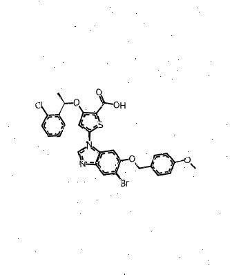 COc1ccc(COc2cc3c(cc2Br)ncn3-c2cc(O[C@H](C)c3ccccc3Cl)c(C(=O)O)s2)cc1